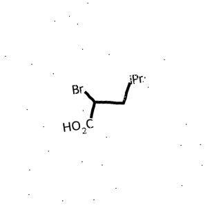 C[C](C)CC(Br)C(=O)O